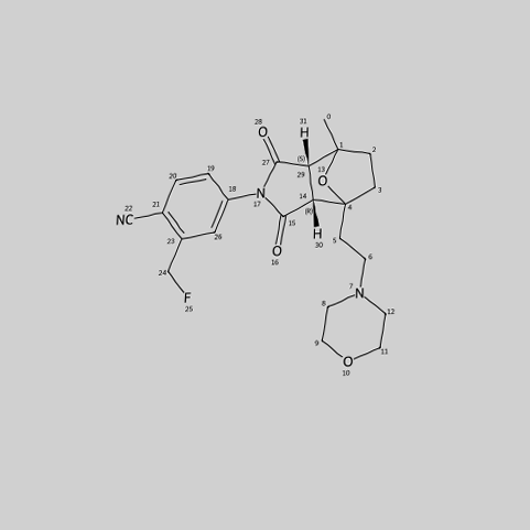 CC12CCC(CCN3CCOCC3)(O1)[C@@H]1C(=O)N(c3ccc(C#N)c(CF)c3)C(=O)[C@@H]12